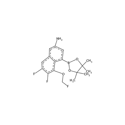 CC1(C)OB(c2cc(N)cc3cc(F)c(F)c(OCF)c23)OC1(C)C